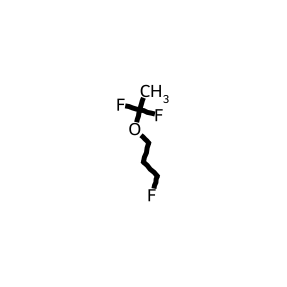 CC(F)(F)OCCCF